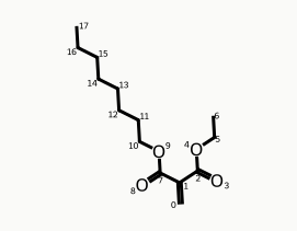 C=C(C(=O)OCC)C(=O)OCCCCCCCC